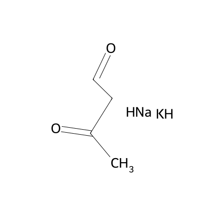 CC(=O)CC=O.[KH].[NaH]